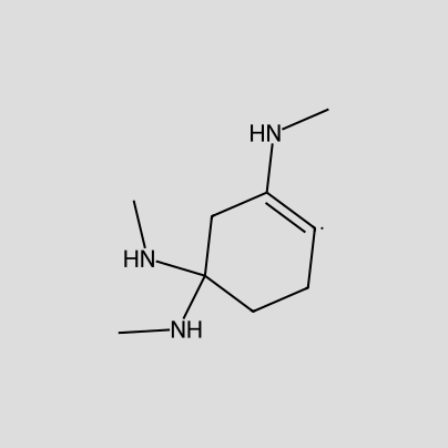 CNC1=[C]CCC(NC)(NC)C1